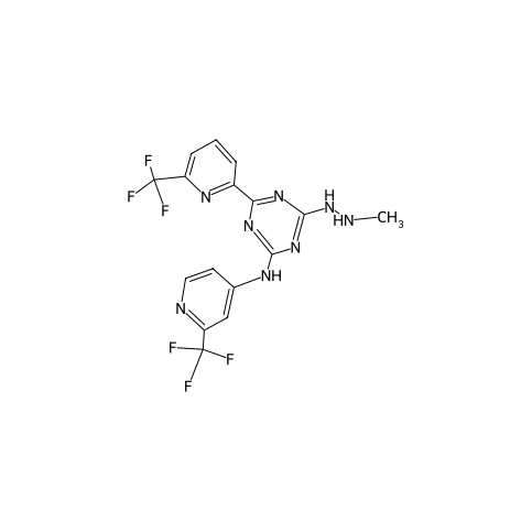 CNNc1nc(Nc2ccnc(C(F)(F)F)c2)nc(-c2cccc(C(F)(F)F)n2)n1